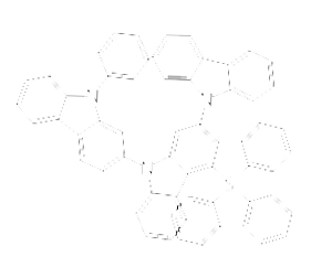 c1ccc(-n2c3ccccc3c3ccc(-n4c5ccccc5c5c([Si](c6ccccc6)(c6ccccc6)c6ccccc6)cc(-n6c7ccccc7c7ccccc76)cc54)cc32)cc1